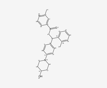 Cc1cc(C(=O)CC(c2ccc(N3CCC(O)CC3)cc2)c2ccccc2C)ccn1